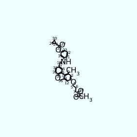 Cc1cc(OCCCS(C)(=O)=O)cc2c1-c1cc(CNc3cccc(OC(=O)C4CC4)c3)ccc1OC2